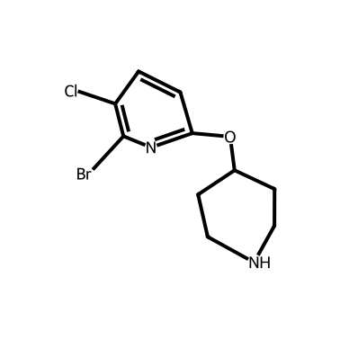 Clc1ccc(OC2CCNCC2)nc1Br